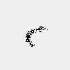 N=C(N)NCCCNCc1ccc(-n2cc3cc(-c4cccc(OCCO)c4)[nH]c3nc2=O)cc1